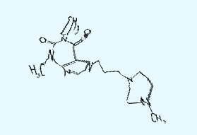 CN1CCCN(CCCn2cnc3c2c(=O)n(C)c(=O)n3C)CC1